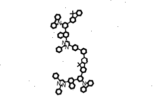 CC1(C)C2=C(C=CC(c3cccc(-c4ccc(-c5cc(-c6ccc(-c7cc(-c8ccc9c(c8)C(C)(C)c8ccccc8-9)cc(-n8c9ccccc9c9ccccc98)c7)c7ccccc67)nc(-c6ccccc6)n5)cc4)c3)C2)c2ccc(-c3cc(-c4ccc(-c5cc(-c6ccccc6)nc(-c6ccccc6)n5)c5ccccc45)cc(-n4c5ccccc5c5ccccc54)c3)cc21